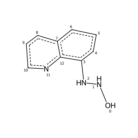 ONNc1cccc2cccnc12